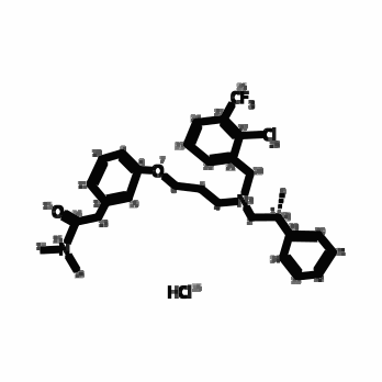 C[C@@H](CN(CCCOc1cccc(CC(=O)N(C)C)c1)Cc1cccc(C(F)(F)F)c1Cl)c1ccccc1.Cl